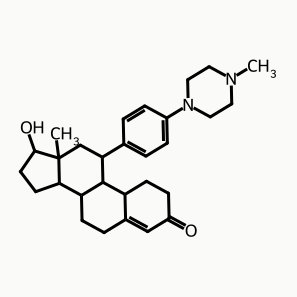 CN1CCN(c2ccc(C3CC4(C)C(O)CCC4C4CCC5=CC(=O)CCC5C34)cc2)CC1